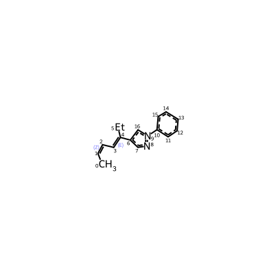 C/C=C\C=C(/CC)c1cnn(-c2ccccc2)c1